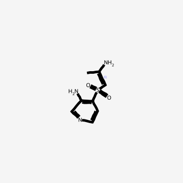 C/C(N)=C\S(=O)(=O)c1ccncc1N